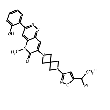 CC(C)C(C(=O)O)c1cc(N2CC3(C2)CN(c2cc4nnc(-c5ccccc5O)cc4n(C)c2=O)C3)no1